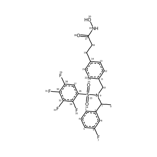 CC(c1cccc(F)c1)N(Cc1ccc(CCC(=O)NO)cn1)S(=O)(=O)c1cc(F)c(F)c(F)c1F